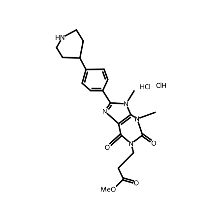 COC(=O)CCn1c(=O)c2nc(-c3ccc(C4CCNCC4)cc3)n(C)c2n(C)c1=O.Cl.Cl